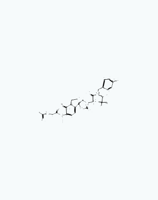 CC(=O)NCC(=O)NC1=CC=C2C(CC[C@]23CN(CC(=O)N(Cc2ccc(F)cc2)[C@@H](C)C(F)(F)F)C(=O)O3)C1=O